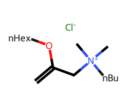 C=C(C[N+](C)(C)CCCC)OCCCCCC.[Cl-]